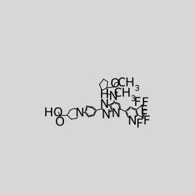 COCC1(CN(C)c2cc(-c3cnc(C(F)(F)F)c(C(F)(F)F)c3)nc3nc(-c4ccc(N5CCC(C(=O)O)CC5)cc4)[nH]c23)CCCC1